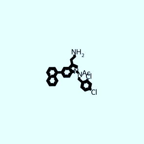 CC(=O)N(Cc1ccc(Cl)cc1Cl)n1cc(CCN)c2cc(-c3cccc4ccccc34)ccc21